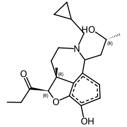 CCC(=O)[C@@H]1Oc2c(O)ccc3c2[C@@]1(C)CCN(CC1CC1)C3C[C@@H](C)O